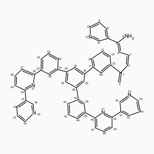 C=C(/C=C\C=C(/N)c1cccnc1)c1cccc(-c2cc(-c3cccc(-c4cccc(-c5cccnc5)n4)c3)cc(-c3cccc(-c4cccc(-c5cccnc5)n4)c3)c2)c1